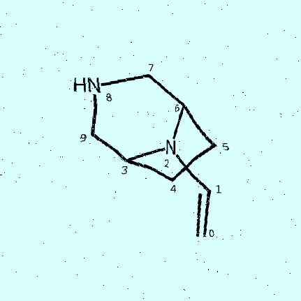 C=CN1C2CCC1CNC2